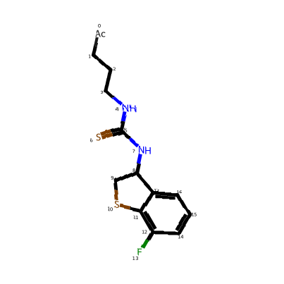 CC(=O)CCCNC(=S)NC1CSc2c(F)cccc21